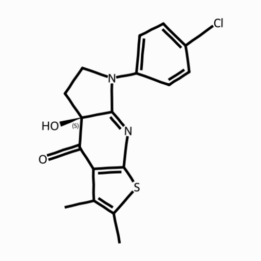 Cc1sc2c(c1C)C(=O)[C@]1(O)CCN(c3ccc(Cl)cc3)C1=N2